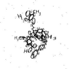 Cc1cc(OCCCc2c3n(c4c(-c5c(C)nc(CN6CCN(C7CCOCC7)CC6)nc5C)c(Cl)ccc24)[C@H](C)CN(c2cn(C)c4ccc(C(=O)O)cc24)C3=O)cc(C)c1Cl